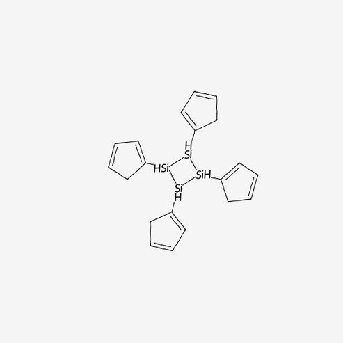 C1=CCC([SiH]2[SiH](C3=CC=CC3)[SiH](C3=CC=CC3)[SiH]2C2=CC=CC2)=C1